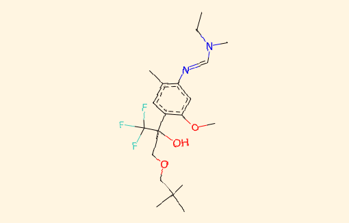 CCN(C)C=Nc1cc(OC)c(C(O)(COCC(C)(C)C)C(F)(F)F)cc1C